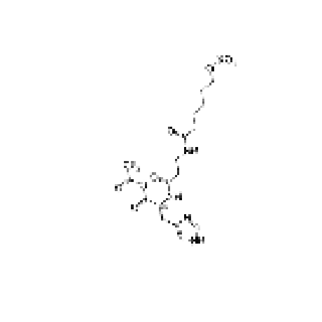 O=C(CCCCCO[N+](=O)[O-])NCCC(=O)N[C@@H](Cc1c[nH]cn1)C(=O)OC(=O)C(F)(F)F